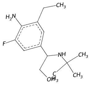 CCc1cc(C(CO)NC(C)(C)C)cc(F)c1N